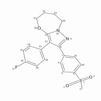 CS(=O)(=O)c1ccc(-c2nn3c(c2-c2ccc(F)cc2)OCCCC3)cc1